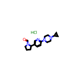 Cl.O=CN1CCCC1c1ccc(N2CCN(C3CC3)CC2)nc1